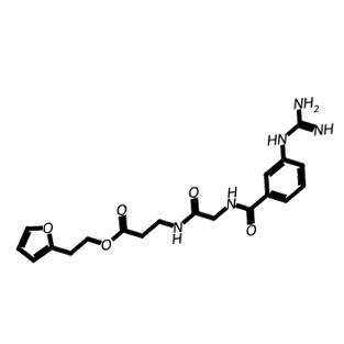 N=C(N)Nc1cccc(C(=O)NCC(=O)NCCC(=O)OCCc2ccco2)c1